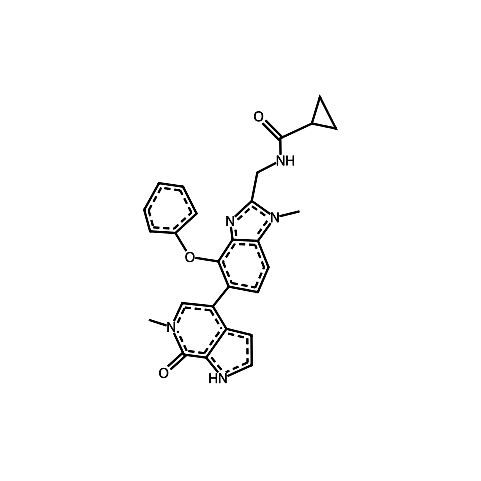 Cn1cc(-c2ccc3c(nc(CNC(=O)C4CC4)n3C)c2Oc2ccccc2)c2cc[nH]c2c1=O